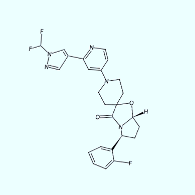 O=C1N2[C@@H](CC[C@H]2c2ccccc2F)OC12CCN(c1ccnc(-c3cnn(C(F)F)c3)c1)CC2